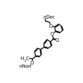 CCCCCCCCCCCCOc1ccccc1OC(=O)c1ccc(-c2ccc(C(C)OCCCCCCCCC)cc2)cc1